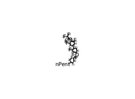 CCCCCc1ccc(C(F)(F)Oc2ccc(-c3cc(F)c(OC(F)=C(F)F)c(F)c3)c(F)c2)cc1